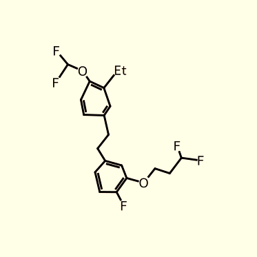 CCc1cc(CCc2ccc(F)c(OCCC(F)F)c2)ccc1OC(F)F